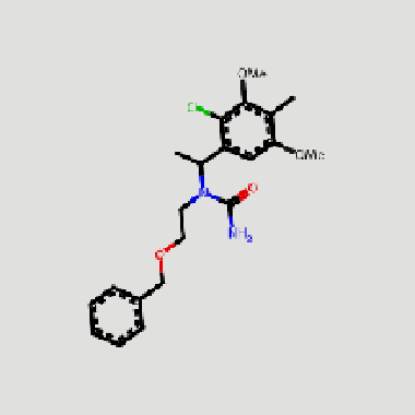 COc1cc(C(C)N(CCOCc2ccccc2)C(N)=O)c(Cl)c(OC)c1C